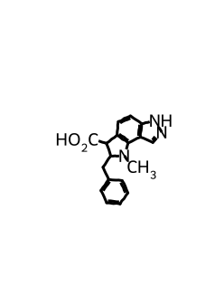 CN1c2c(ccc3[nH]ncc23)C(C(=O)O)C1Cc1ccccc1